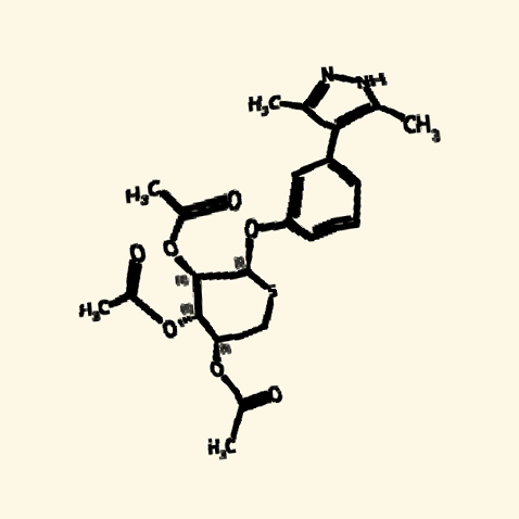 CC(=O)O[C@@H]1[C@@H](OC(C)=O)[C@@H](Oc2cccc(-c3c(C)n[nH]c3C)c2)SC[C@H]1OC(C)=O